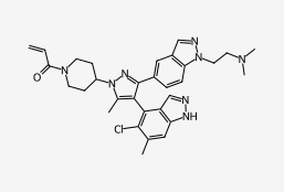 C=CC(=O)N1CCC(n2nc(-c3ccc4c(cnn4CCN(C)C)c3)c(-c3c(Cl)c(C)cc4[nH]ncc34)c2C)CC1